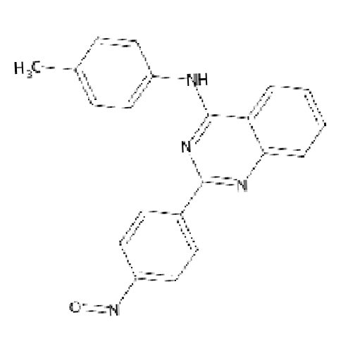 Cc1ccc(Nc2nc(-c3ccc(N=O)cc3)nc3ccccc23)cc1